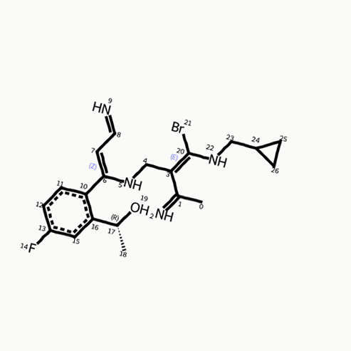 CC(=N)/C(CN/C(=C\C=N)c1ccc(F)cc1[C@@H](C)O)=C(/Br)NCC1CC1